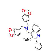 CCCCc1c(-c2ccccc2)nc2ccccc2c1CN(Cc1ccc2c(c1)OCO2)Cc1ccc2c(c1)OCO2